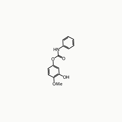 COc1ccc(OC(=O)Nc2ccccc2)cc1O